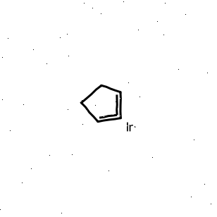 C1=CCCC=1.[Ir]